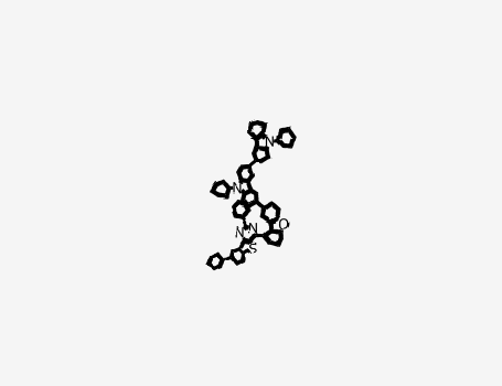 c1ccc(-c2ccc3sc4c(-c5cccc6oc7ccc(-c8ccc9c(c8)c8cc(-c%10ccc%11c(c%10)c%10ccccc%10n%11-c%10ccccc%10)ccc8n9-c8ccccc8)cc7c56)nc(-c5ccccc5)nc4c3c2)cc1